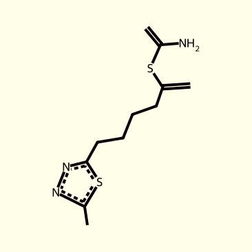 C=C(N)SC(=C)CCCCc1nnc(C)s1